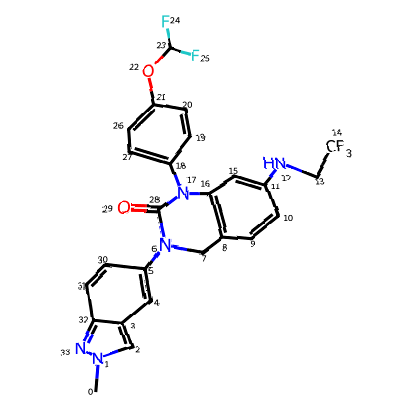 Cn1cc2cc(N3Cc4ccc(NCC(F)(F)F)cc4N(c4ccc(OC(F)F)cc4)C3=O)ccc2n1